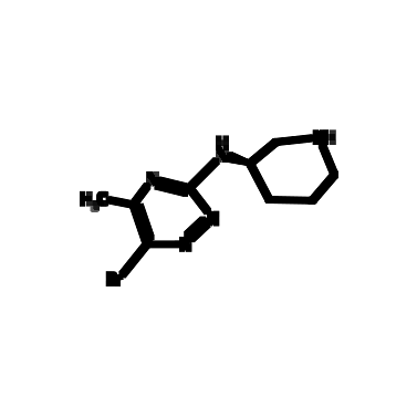 Cc1nc(N[C@@H]2CCCNC2)nnc1Br